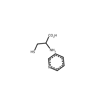 NC(CS)C(=O)O.c1ccncc1